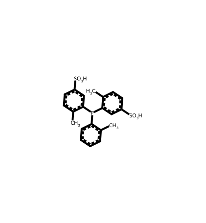 Cc1ccccc1P(c1cc(S(=O)(=O)O)ccc1C)c1cc(S(=O)(=O)O)ccc1C